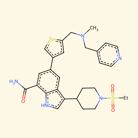 CCS(=O)(=O)N1CCC(c2c[nH]c3c(C(N)=O)cc(-c4csc(CN(C)Cc5ccncc5)c4)cc23)CC1